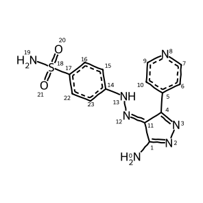 NC1=NN=C(c2ccncc2)/C1=N\Nc1ccc(S(N)(=O)=O)cc1